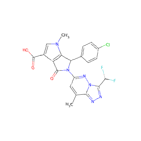 Cc1cc(N2C(=O)c3c(C(=O)O)cn(C)c3C2c2ccc(Cl)cc2)nn2c(C(F)F)nnc12